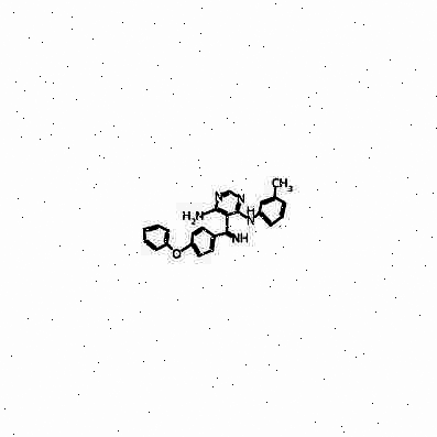 Cc1cccc(Nc2ncnc(N)c2C(=N)c2ccc(Oc3ccccc3)cc2)c1